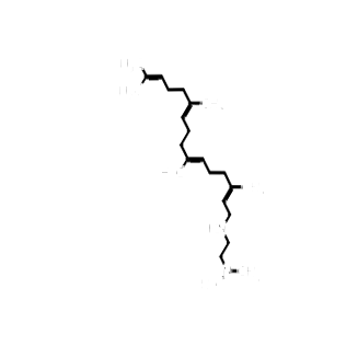 CC(C)=CCCC(C)=CCCC(C)=CCCC(C)=CCNCCN(C)C